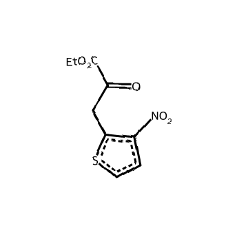 CCOC(=O)C(=O)Cc1sccc1[N+](=O)[O-]